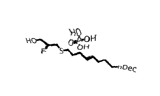 CCCCCCCCCCCCCCCCCCSCC(F)CO.O=P(O)(O)O